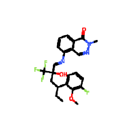 CCC(CC(O)(/C=N/c1cccc2c(=O)n(C)ncc12)C(F)(F)F)c1cccc(F)c1OC